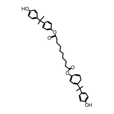 CC(C)(C1=CC=C(OC(=O)CCCCCCCCC(=O)Oc2ccc(C(C)(C)c3ccc(O)cc3)cc2)C=CC1)c1ccc(O)cc1